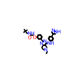 CCN1CCc2nc(-c3cccc(OCC(=O)NCC(C)(C)C)c3)nc(Nc3ccc(-c4cn[nH]c4)cc3)c2C1